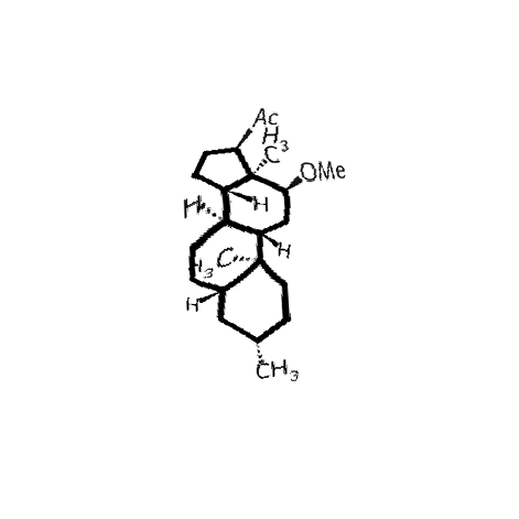 CO[C@H]1C[C@H]2[C@@H](CC[C@H]3C[C@@H](C)CC[C@@]32C)[C@@H]2CC[C@@H](C(C)=O)[C@@]12C